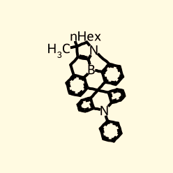 CCCCCCC1(C)CN2C3=C1Cc1cccc4c1B3c1c2cccc1C41c2ccccc2N(c2ccccc2)c2ccccc21